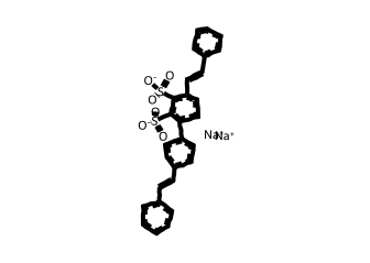 O=S(=O)([O-])c1c(C=Cc2ccccc2)ccc(-c2ccc(C=Cc3ccccc3)cc2)c1S(=O)(=O)[O-].[Na+].[Na+]